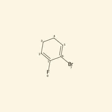 FC1=CCCC=C1Br